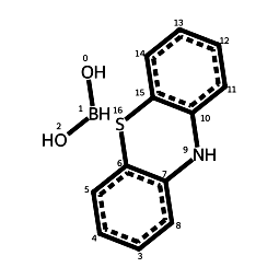 OBO.c1ccc2c(c1)Nc1ccccc1S2